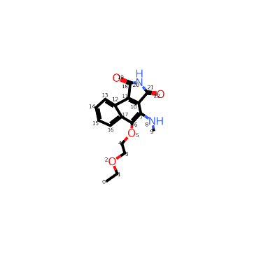 CCOCCOc1c(NC)c2c(c3ccccc13)C(=O)NC2=O